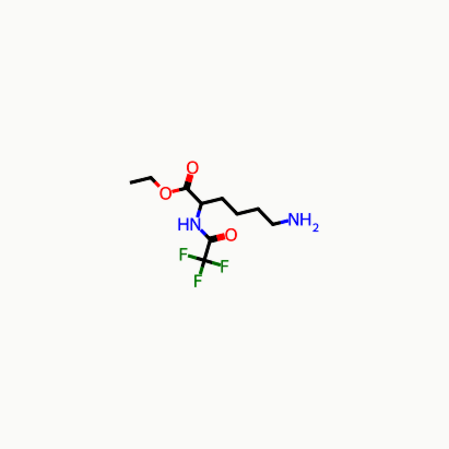 CCOC(=O)C(CCCCN)NC(=O)C(F)(F)F